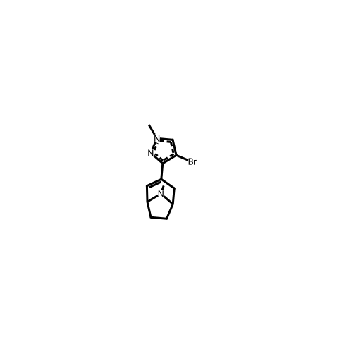 CN1C2C=C(c3nn(C)cc3Br)CC1CC2